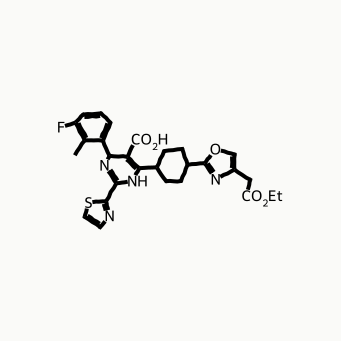 CCOC(=O)Cc1coc(C2CCC(C3=C(C(=O)O)C(c4cccc(F)c4C)N=C(c4nccs4)N3)CC2)n1